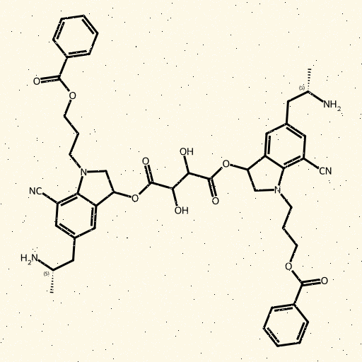 C[C@H](N)Cc1cc(C#N)c2c(c1)C(OC(=O)C(O)C(O)C(=O)OC1CN(CCCOC(=O)c3ccccc3)c3c(C#N)cc(C[C@H](C)N)cc31)CN2CCCOC(=O)c1ccccc1